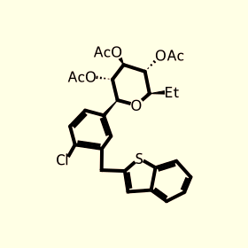 CC[C@H]1O[C@@H](c2ccc(Cl)c(Cc3cc4ccccc4s3)c2)[C@H](OC(C)=O)[C@@H](OC(C)=O)[C@@H]1OC(C)=O